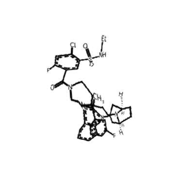 CCNS(=O)(=O)c1cc(C(=O)N2CCC(CCN3[C@@H]4CC[C@H]3CC(n3c(C)nc5ccccc53)C4)(c3cccc(F)c3)CC2)c(F)cc1Cl